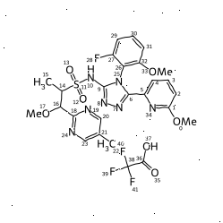 COc1cccc(-c2nnc(NS(=O)(=O)C(C)C(OC)c3ncc(C)cn3)n2-c2c(F)cccc2OC)n1.O=C(O)C(F)(F)F